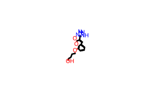 O=c1oc2c(OCCCCO)cccc2cc1-c1nnn[nH]1